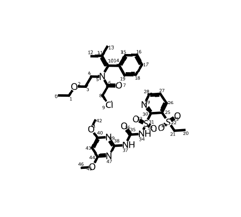 CCOCCN(C(=O)CCl)C(=C(C)C)c1ccccc1.CCS(=O)(=O)c1cccnc1S(=O)(=O)NC(=O)Nc1nc(OC)cc(OC)n1